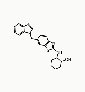 O[C@H]1CCCCC1Nc1nc2ccc(Cn3cnc4ccccc43)cc2s1